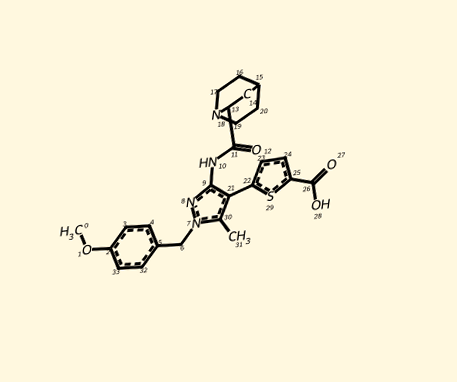 COc1ccc(Cn2nc(NC(=O)C3CC4CCN3CC4)c(-c3ccc(C(=O)O)s3)c2C)cc1